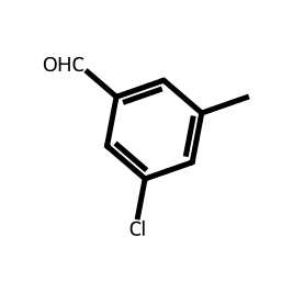 Cc1cc(Cl)cc(C=O)c1